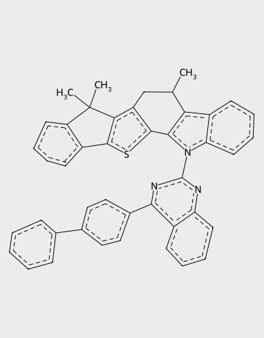 CC1Cc2c(sc3c2C(C)(C)c2ccccc2-3)-c2c1c1ccccc1n2-c1nc(-c2ccc(-c3ccccc3)cc2)c2ccccc2n1